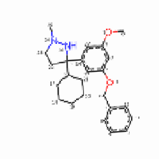 COc1cc(OCc2ccccc2)cc(C2(C3CCCCC3)CCN(C)N2)c1